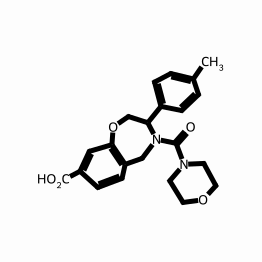 Cc1ccc(C2COc3cc(C(=O)O)ccc3CN2C(=O)N2CCOCC2)cc1